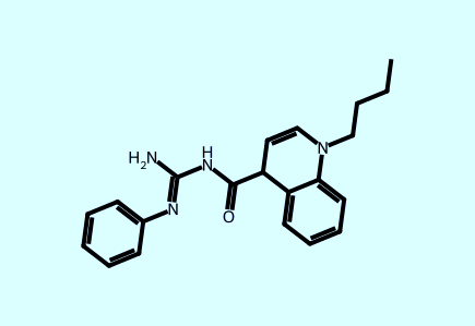 CCCCN1C=CC(C(=O)NC(N)=Nc2ccccc2)c2ccccc21